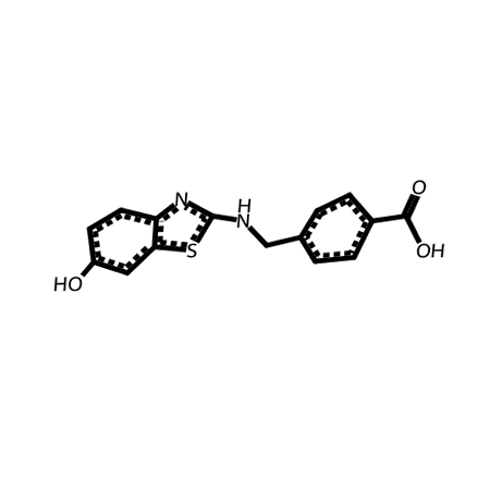 O=C(O)c1ccc(CNc2nc3ccc(O)cc3s2)cc1